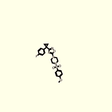 COc1ccc(S(=O)(=O)N2CCN(c3nc(C4(c5ccc(F)cc5)CC4)no3)CC2)cc1